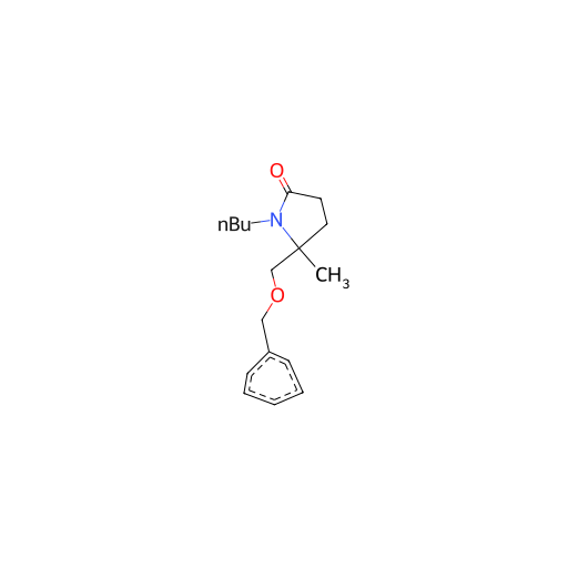 CCCCN1C(=O)CCC1(C)COCc1ccccc1